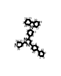 c1ccc(-c2ccc(-c3cc(-c4ccc(-n5c6ccccc6c6ccccc65)cc4)nc(-c4ccncc4)n3)cc2)cc1